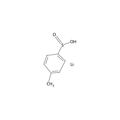 Cc1ccc(S(=O)O)cc1.[Li]